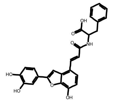 O=C(/C=C/c1ccc(O)c2oc(-c3ccc(O)c(O)c3)cc12)NC(Cc1ccccc1)C(=O)O